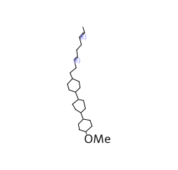 C/C=C/CC/C=C/CCC1CCC(C2CCC(C3CCC(OC)CC3)CC2)CC1